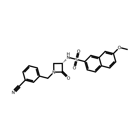 COc1ccc2ccc(S(=O)(=O)N[C@H]3CN(Cc4cccc(C#N)c4)C3=O)cc2c1